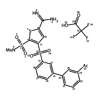 CNS(=O)(=O)c1sc(C(=N)N)cc1S(=O)(=O)c1cccc(-c2cccc(C(C)=O)c2)c1.O=C(O)C(F)(F)F